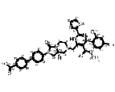 COC(=O)C1=C(CN2CCN3C(=O)N(c4ccc(-c5ccc(C(=O)O)cc5)cc4)C[C@@H]3C2)NC(c2nccs2)=N[C@H]1c1ccc(F)cc1Cl